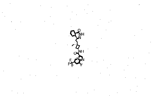 CC[C@]1(CCc2n[nH]c(=O)c3ccccc23)C[C@H](NC(=O)c2cnc3c(F)cc(C(F)(F)F)cn23)C1